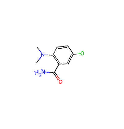 CN(C)c1ccc(Cl)cc1C(N)=O